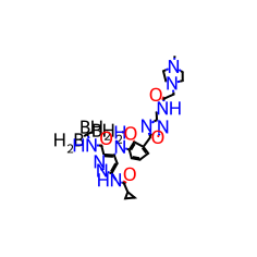 BC(B)(B)NC(=O)c1nnc(NC(=O)C2CC2)cc1Nc1cccc(-c2nc(CNC(=O)CN3CCN(C)CC3)no2)c1OC